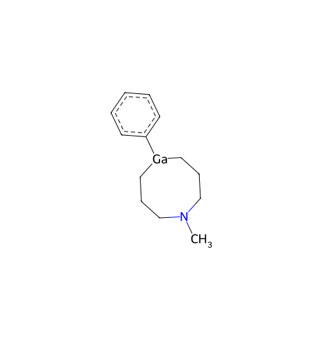 CN1CC[CH2][Ga]([c]2ccccc2)[CH2]CC1